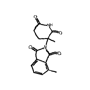 Cc1cccc2c1C(=O)N(C1(C)CCC(=O)NC1=O)C2=O